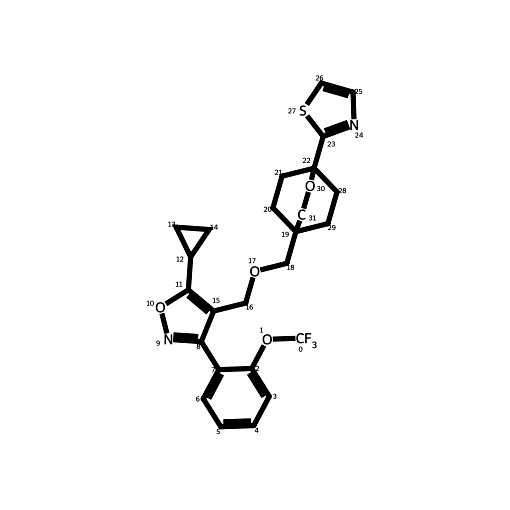 FC(F)(F)Oc1ccccc1-c1noc(C2CC2)c1COCC12CCC(c3nccs3)(CC1)OC2